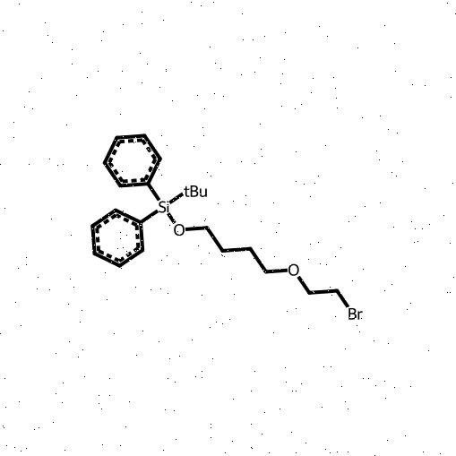 CC(C)(C)[Si](OCCCCOCCBr)(c1ccccc1)c1ccccc1